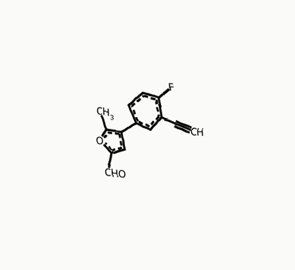 C#Cc1cc(-c2cc(C=O)oc2C)ccc1F